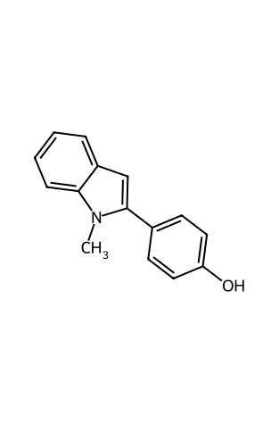 Cn1c(-c2ccc(O)cc2)cc2ccccc21